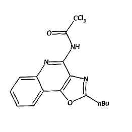 CCCCc1nc2c(NC(=O)C(Cl)(Cl)Cl)nc3ccccc3c2o1